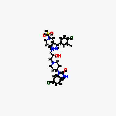 Cc1cc(-c2nn(CC(O)CN3CCC(n4c(=O)[nH]c5ccc(Cl)cc54)CC3)c3c2CN(S(C)(=O)=O)CC3)ccc1Cl